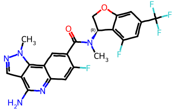 CN(C(=O)c1cc2c(cc1F)nc(N)c1cnn(C)c12)[C@H]1COc2cc(C(F)(F)F)cc(F)c21